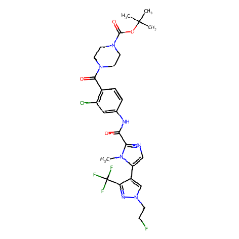 Cn1c(-c2cn(CCF)nc2C(F)(F)F)cnc1C(=O)Nc1ccc(C(=O)N2CCN(C(=O)OC(C)(C)C)CC2)c(Cl)c1